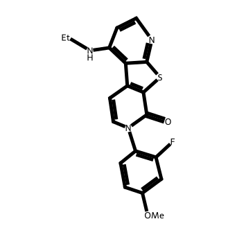 CCNc1ccnc2sc3c(=O)n(-c4ccc(OC)cc4F)ccc3c12